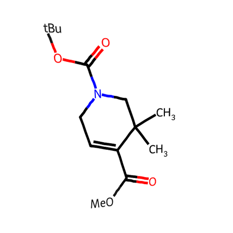 COC(=O)C1=CCN(C(=O)OC(C)(C)C)CC1(C)C